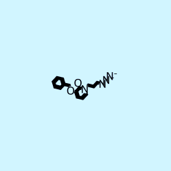 [N-]=[N+]=NCCCn1cccc(OCc2ccccc2)c1=O